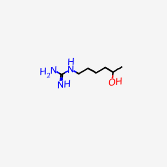 CC(O)CCCCNC(=N)N